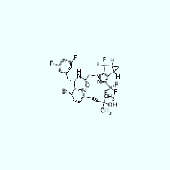 CC(C)(O)C#Cc1ccc(Br)c([C@H](Cc2cc(F)cc(F)c2)NC(=O)Cn2nc(C(F)(F)F)c3c2C(F)(F)[C@@H]2C[C@H]32)n1